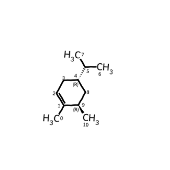 CC1=CC[C@H](C(C)C)C[C@H]1C